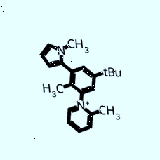 Cc1c(-c2cccn2C)cc(C(C)(C)C)cc1-[n+]1ccccc1C